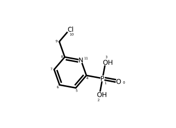 O=P(O)(O)c1cccc(CCl)n1